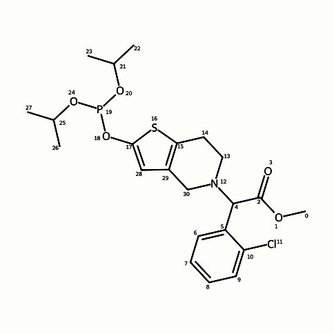 COC(=O)C(c1ccccc1Cl)N1CCc2sc(OP(OC(C)C)OC(C)C)cc2C1